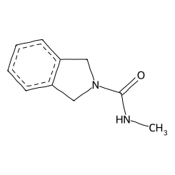 CNC(=O)N1Cc2ccccc2C1